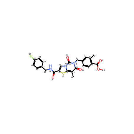 COC(=O)c1ccc(Cn2c(=O)c(C)c3sc(C(=O)NCc4ccc(F)cc4)cn3c2=O)cc1C